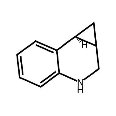 c1ccc2c(c1)NCC1C[C@H]21